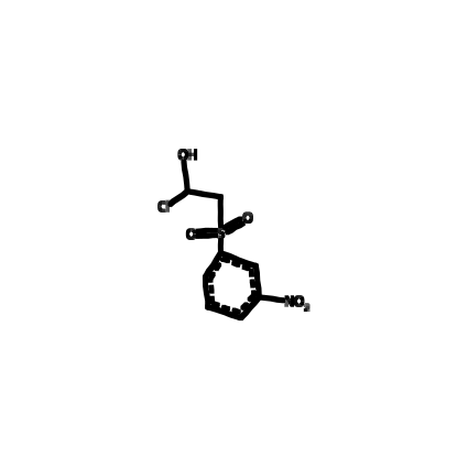 O=[N+]([O-])c1cccc(S(=O)(=O)CC(O)Cl)c1